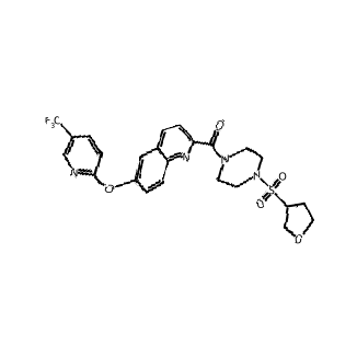 O=C(c1ccc2cc(Oc3ccc(C(F)(F)F)cn3)ccc2n1)N1CCN(S(=O)(=O)C2CCOC2)CC1